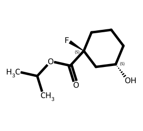 CC(C)OC(=O)[C@]1(F)CCC[C@H](O)C1